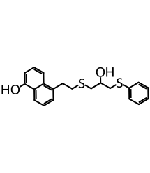 Oc1cccc2c(CCSCC(O)CSc3ccccc3)cccc12